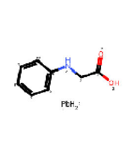 O=C(O)CNc1ccccc1.[PbH2]